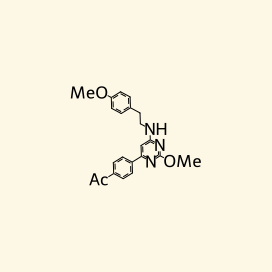 COc1ccc(CCNc2cc(-c3ccc(C(C)=O)cc3)nc(OC)n2)cc1